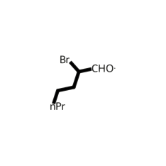 CCCCCC(Br)[C]=O